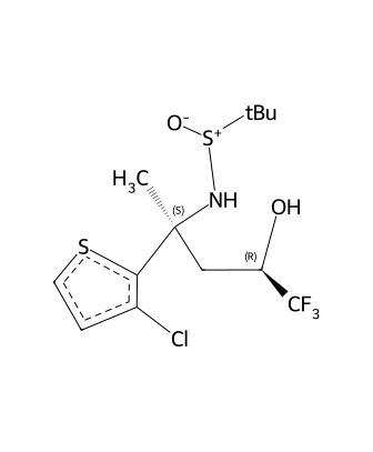 CC(C)(C)[S+]([O-])N[C@@](C)(C[C@@H](O)C(F)(F)F)c1sccc1Cl